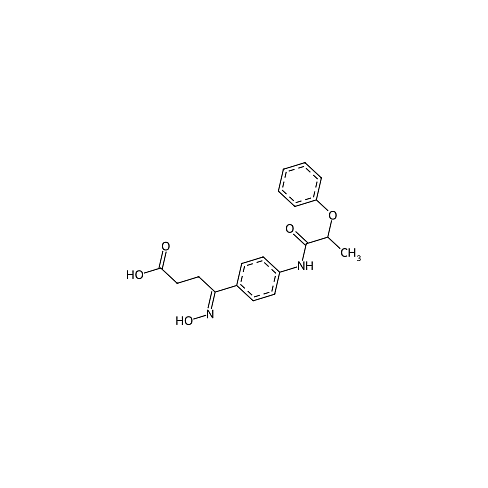 CC(Oc1ccccc1)C(=O)Nc1ccc(C(CCC(=O)O)=NO)cc1